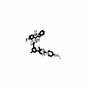 Cc1cc(C(=O)NC(c2cc3ccccc3[nH]2)c2cc(F)ccc2O)cc(-c2cnc(N3CCC(N)CC3)nc2C)c1